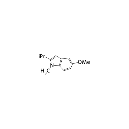 COc1ccc2c(c1)cc(C(C)C)n2C